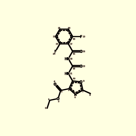 CCOC(=O)c1nc(C)oc1NC(=O)NC(=O)c1c(F)cccc1F